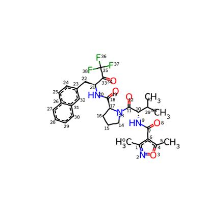 Cc1noc(C)c1C(=O)N[C@H](C(=O)N1CCC[C@H]1C(=O)N[C@@H](Cc1ccc2ccccc2c1)C(=O)C(F)(F)F)C(C)C